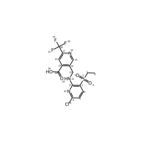 CCS(=O)(=O)c1ccc(Cl)nc1NCc1cnc(C(F)(F)F)cc1C(=O)O